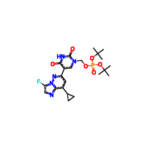 CC(C)(C)OP(=O)(OCn1cc(-c2cc(C3CC3)c3ncc(F)n3n2)c(=O)[nH]c1=O)OC(C)(C)C